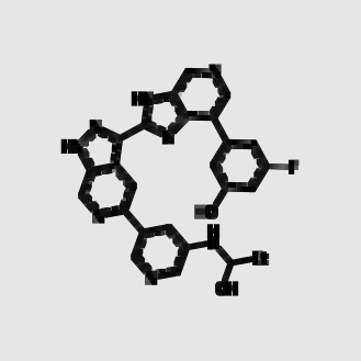 CCC(O)Nc1cncc(-c2cc3c(-c4nc5c(-c6cc(O)cc(F)c6)cncc5[nH]4)n[nH]c3cn2)c1